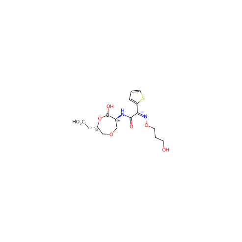 O=C(O)C[C@H]1COC[C@H](NC(=O)/C(=N\OCCCO)c2cccs2)B(O)O1